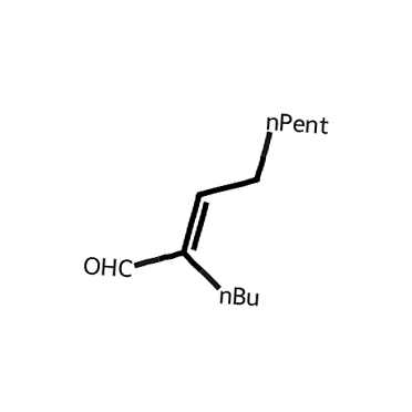 CCCCCCC=C(C=O)CCCC